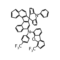 FC(F)(F)c1ccc(N(c2cc3c(c4ccccc24)-c2c(ccc4ccccc24)C32c3ccccc3N(c3ccccc3)c3ccccc32)c2cccc3c2oc2c(C(F)(F)F)cccc23)cc1